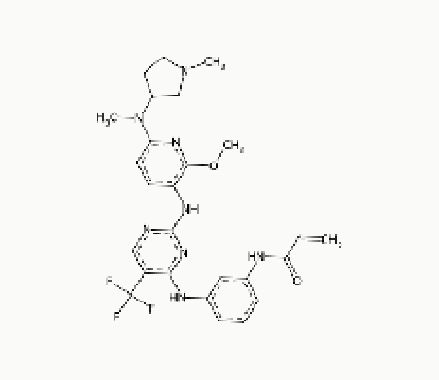 C=CC(=O)Nc1cccc(Nc2nc(Nc3ccc(N(C)C4CCN(C)C4)nc3OC)ncc2C(F)(F)F)c1